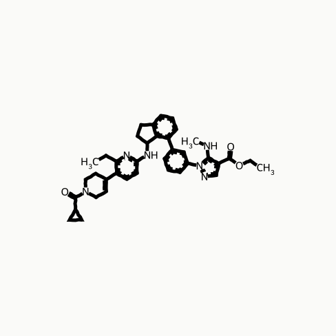 CCOC(=O)c1cnn(-c2cccc(-c3cccc4c3C(Nc3ccc(C5=CCN(C(=O)C6CC6)CC5)c(CC)n3)CC4)c2)c1NC